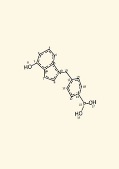 Oc1cccc2c1ccn2Cc1ccc(P(O)O)cc1